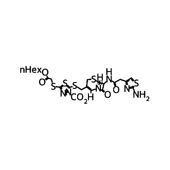 CCCCCCOC(=O)CSc1nnc(SCC2=C(C(=O)O)N3C(=O)C(NC(=O)Cc4csc(N)n4)[C@@H]3SC2)s1